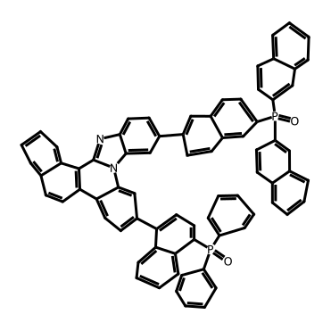 O=P(c1ccc2ccccc2c1)(c1ccc2ccccc2c1)c1ccc2cc(-c3ccc4nc5c6c7ccccc7ccc6c6ccc(-c7ccc(P(=O)(c8ccccc8)c8ccccc8)c8ccccc78)cc6n5c4c3)ccc2c1